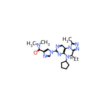 CC[C@@H]1c2nnc(C)n2-c2cnc(-n3cnc(C(=O)N(C)C)c3)nc2N1C1CCCC1